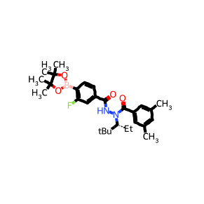 CC[C@@H](N(NC(=O)c1ccc(B2OC(C)(C)C(C)(C)O2)c(F)c1)C(=O)c1cc(C)cc(C)c1)C(C)(C)C